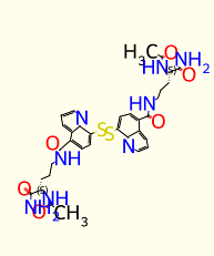 CC(=O)N[C@@H](CCCNC(=O)c1ccc(SSc2ccc(C(=O)NCCC[C@H](NC(C)=O)C(N)=O)c3cccnc23)c2ncccc12)C(N)=O